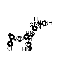 CNc1cc(SNC(=O)c2ccc(N3CCN(CC4=C(c5ccc(Cl)cc5)CC(C)(C)CC4)CC3)cc2Oc2cnc3[nH]ccc3c2)cc(OC)c1N[C@@H](C)CC1CCNCC1